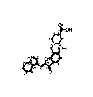 COc1ccc2c(c1CN1CCN(C(=O)O)CC1)O/C(=C\c1c[nH]c3ncccc13)C2=O